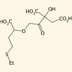 CCSCCC(OCC(=O)C(O)(CC(=O)O)C(=O)O)C(=O)O